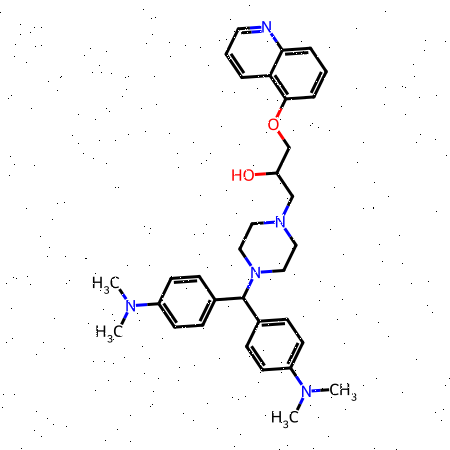 CN(C)c1ccc(C(c2ccc(N(C)C)cc2)N2CCN(CC(O)COc3cccc4ncccc34)CC2)cc1